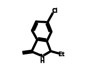 C=C1NC(CC)c2cc(Cl)ccc21